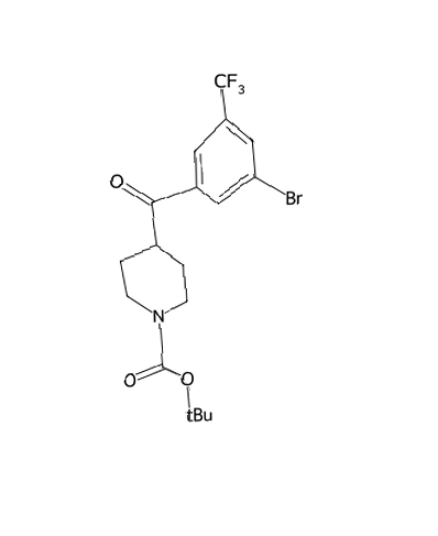 CC(C)(C)OC(=O)N1CCC(C(=O)c2cc(Br)cc(C(F)(F)F)c2)CC1